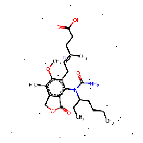 CCCCC(CC)N(C(N)=O)c1c(C/C=C(\C)CCC(=O)O)c(OC)c(C)c2c1C(=O)OC2